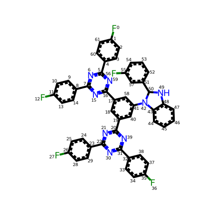 Fc1ccc(-c2nc(-c3ccc(F)cc3)nc(-c3cc(-c4nc(-c5ccc(F)cc5)nc(-c5ccc(F)cc5)n4)cc(N4c5ccccc5NC4c4cccc(F)c4)c3)n2)cc1